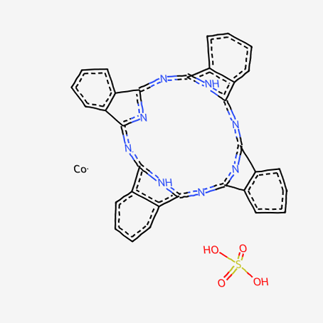 O=S(=O)(O)O.[Co].c1ccc2c(c1)-c1nc-2nc2[nH]c(nc3nc(nc4[nH]c(n1)c1ccccc41)-c1ccccc1-3)c1ccccc21